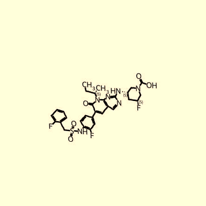 CC[C@H](C)n1c(=O)c(-c2ccc(NS(=O)(=O)Cc3ccccc3F)c(F)c2)cc2cnc(N[C@H]3C[C@H](F)CN(C(=O)O)C3)nc21